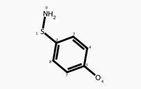 NSc1ccc([O])cc1